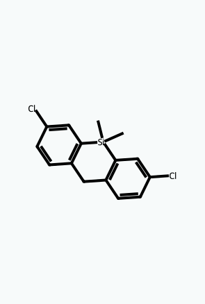 C[Si]1(C)c2cc(Cl)ccc2Cc2ccc(Cl)cc21